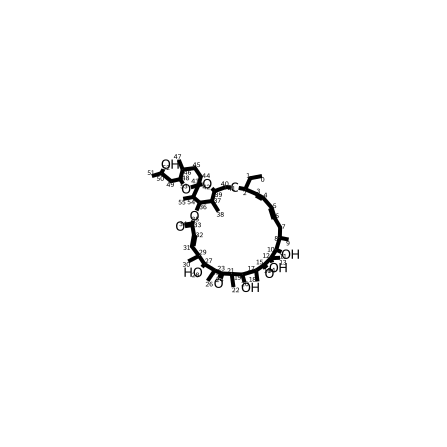 CCC1/C=C/C=C/CC(C)C(O)C(C)(O)C(=O)C(C)C(O)C(C)C(=O)C(C)C(O)C(C)/C=C/C(=O)OC2C(C)C(CC1)OC1(CCC(C)C(CC(C)O)O1)C2C